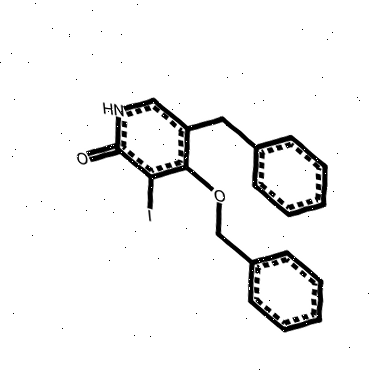 O=c1[nH]cc(Cc2ccccc2)c(OCc2ccccc2)c1I